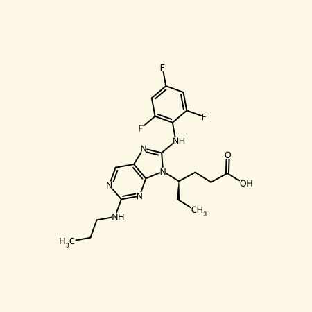 CCCNc1ncc2nc(Nc3c(F)cc(F)cc3F)n([C@H](CC)CCC(=O)O)c2n1